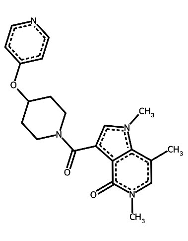 Cc1cn(C)c(=O)c2c(C(=O)N3CCC(Oc4ccncc4)CC3)cn(C)c12